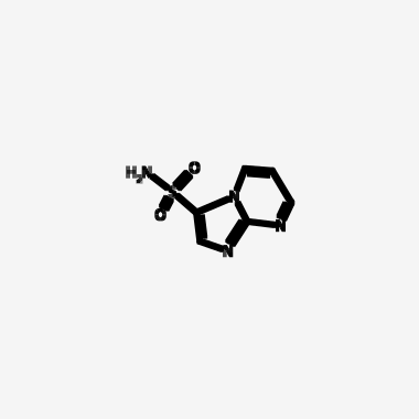 NS(=O)(=O)c1cnc2ncccn12